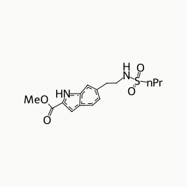 CCCS(=O)(=O)NCCc1ccc2cc(C(=O)OC)[nH]c2c1